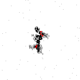 CCn1c(-c2cc(N3CCN4CCOC[C@@H]4C3)cnc2[C@H](C)OC)c(CC(C)(C)COC(C)=O)c2cc(-c3cccc(C[C@H](NC(=O)OC(C)(C)C)C(=O)N4CCC[C@@H](C(=O)OC)N4)c3)ccc21